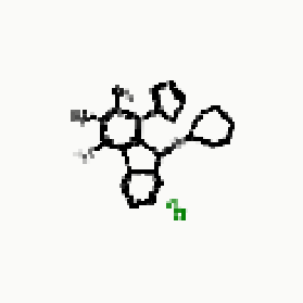 Cc1c(C)c(C2=CC=CC2)c2c(c1C)-c1ccccc1[CH]2[Zr+2]=[C]1CCCCC1.[Cl-].[Cl-]